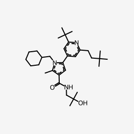 Cc1c(C(=O)NCC(C)(C)O)cc(-c2cc(CCC(C)(C)C)nc(C(C)(C)C)c2)n1CC1CCCCC1